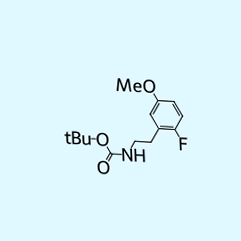 COc1ccc(F)c(CCNC(=O)OC(C)(C)C)c1